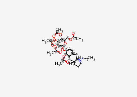 CCCN1CCC[C@@H]2Cc3c(ccc(O[C@@H]4O[C@H](COC(C)=O)[C@@H](OC(C)=O)[C@H](OC(C)=O)[C@H]4OC(C)=O)c3OC(C)=O)C[C@H]21